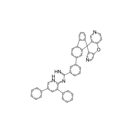 N=C(/N=c1\[nH]cc(-c2ccccc2)cc1-c1ccccc1)c1cccc(-c2ccc3c(c2)C2(c4cnccc4Oc4ccncc42)c2ccccc2-3)c1